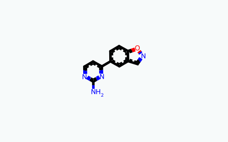 Nc1nccc(-c2ccc3oncc3c2)n1